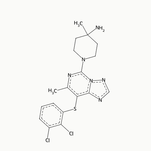 Cc1nc(N2CCC(C)(N)CC2)n2ncnc2c1Sc1cccc(Cl)c1Cl